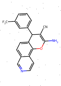 N#CC1=C(N)Oc2c(ccc3cnccc23)C1c1cccc(C(F)(F)F)c1